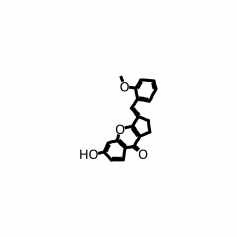 COc1ccccc1C=C1CCc2c1oc1cc(O)ccc1c2=O